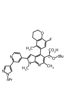 CCCn1cc(-c2cc(-c3cc4c(-c5cc(F)c6c(c5C)CCCO6)c([C@H](OC(C)(C)C)C(=O)O)c(C)nc4n3C)ccn2)cn1